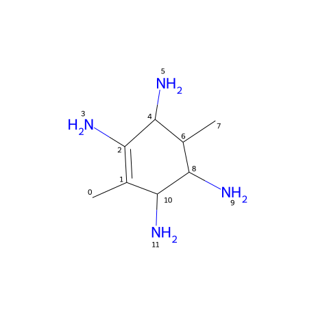 CC1=C(N)C(N)C(C)C(N)C1N